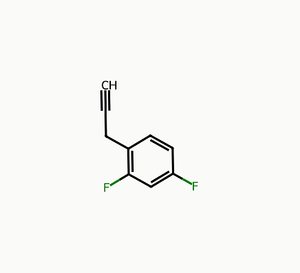 C#CCc1ccc(F)cc1F